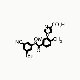 CON(C(=O)c1ccc(C)c(-n2cnc(C(=O)O)c2)c1)c1cc(C#N)cc(C(C)(C)C)c1